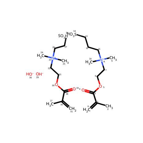 C=C(C)C(=O)OCC[N+](C)(C)CCCS(=O)(=O)O.C=C(C)C(=O)OCC[N+](C)(C)CCS(=O)(=O)O.[OH-].[OH-]